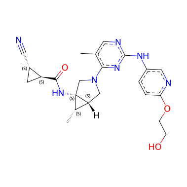 Cc1cnc(Nc2ccc(OCCO)nc2)nc1N1C[C@@H]2[C@H](C)[C@@]2(NC(=O)[C@H]2C[C@@H]2C#N)C1